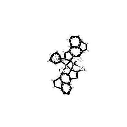 CCC[CH2][Ti]1([CH2]CCC)[C]2(C(C)=Cc3c2cc2c4c(cccc34)CC2)[Si](C)(c2ccccc2)[C]12C(C)=Cc1c2cc2c3c(cccc13)CC2